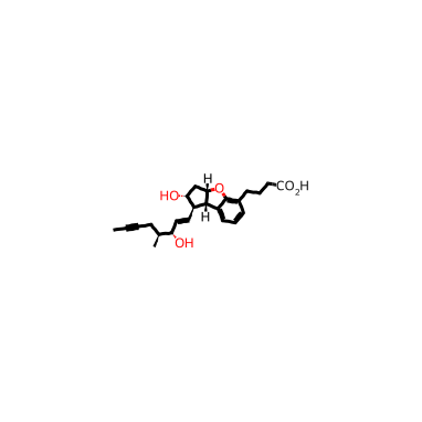 CC#CC[C@H](C)[C@@H](O)/C=C/[C@@H]1[C@H]2c3cccc(CCCC(=O)O)c3O[C@H]2C[C@H]1O